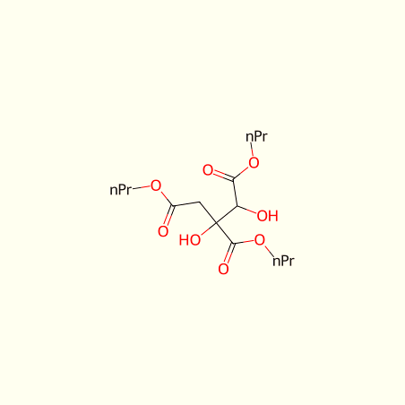 CCCOC(=O)CC(O)(C(=O)OCCC)C(O)C(=O)OCCC